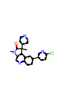 CN1C(=O)C(C)(c2ccncc2)c2c1cnc1ccc(-c3ccc(Cl)nc3)cc21